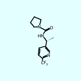 C[C@@H](NC(=O)N1CCCC1)c1ccc(C(F)(F)F)nc1